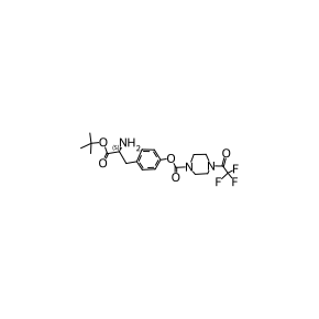 CC(C)(C)OC(=O)[C@@H](N)Cc1ccc(OC(=O)N2CCN(C(=O)C(F)(F)F)CC2)cc1